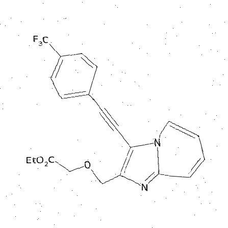 CCOC(=O)COCc1nc2ccccn2c1C#Cc1ccc(C(F)(F)F)cc1